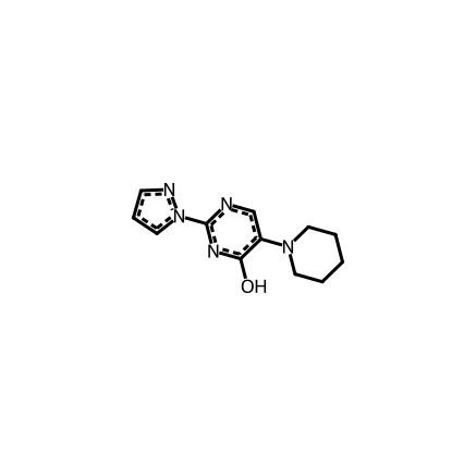 Oc1nc(-n2cccn2)ncc1N1CCCCC1